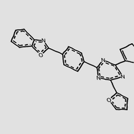 C1=C(c2nc(-c3ccc(-c4nc5ccccc5o4)cc3)nc(-c3ccco3)n2)OCC1